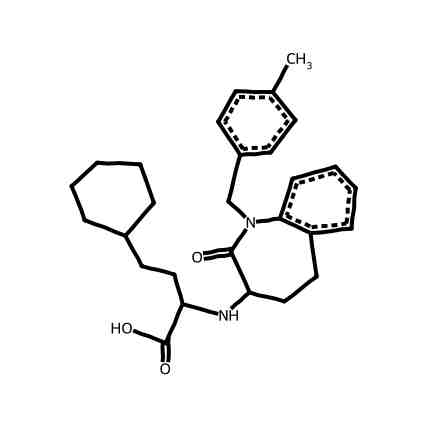 Cc1ccc(CN2C(=O)C(NC(CCC3CCCCC3)C(=O)O)CCc3ccccc32)cc1